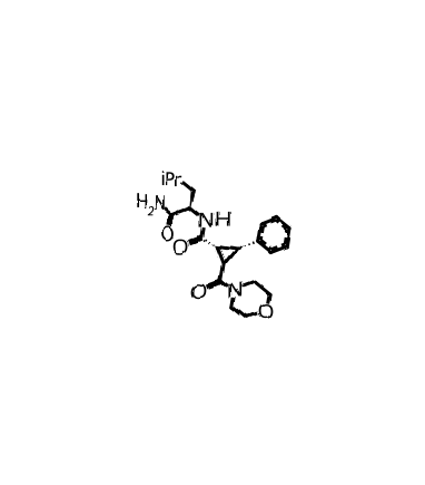 CC(C)C[C@@H](NC(=O)[C@H]1C(C(=O)N2CCOCC2)[C@H]1c1ccccc1)C(N)=O